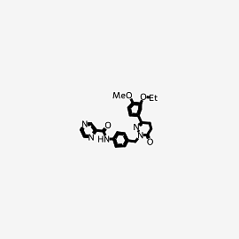 CCOc1cc(C2=NN(Cc3ccc(NC(=O)c4cnccn4)cc3)C(=O)CC2)ccc1OC